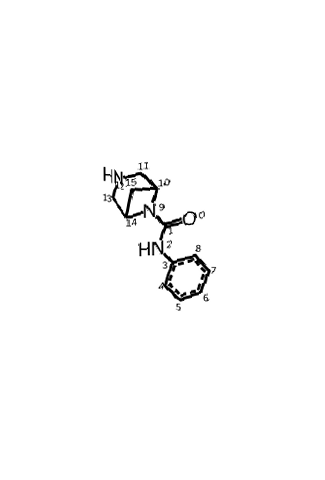 O=C(Nc1ccccc1)N1C2CNCC1C2